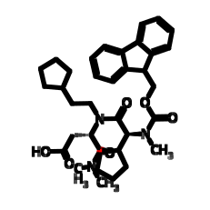 CN(C)C(=O)[C@H](CC(=O)O)N(CCC1CCCC1)C(=O)[C@H](C1CCCC1)N(C)C(=O)OCC1c2ccccc2-c2ccccc21